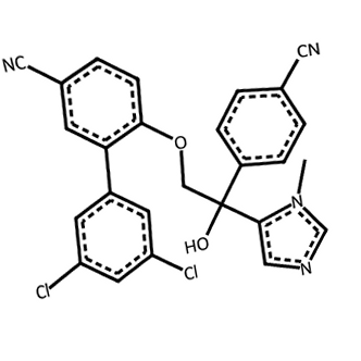 Cn1cncc1C(O)(COc1ccc(C#N)cc1-c1cc(Cl)cc(Cl)c1)c1ccc(C#N)cc1